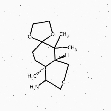 CC1(C)[C@@H]2CCCC(N)[C@@]2(C)CCC12OCCO2